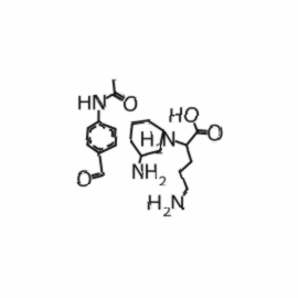 CC(=O)Nc1ccc(C=O)cc1.NC1CCCCC1.NCCCC(N)C(=O)O